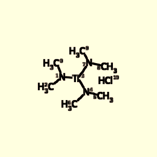 C[N](C)[Ti]([N](C)C)[N](C)C.Cl